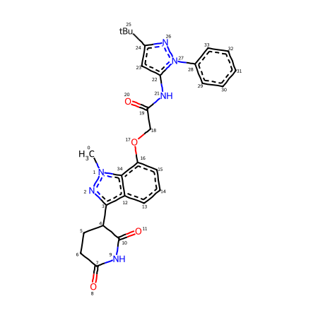 Cn1nc(C2CCC(=O)NC2=O)c2cccc(OCC(=O)Nc3cc(C(C)(C)C)nn3-c3ccccc3)c21